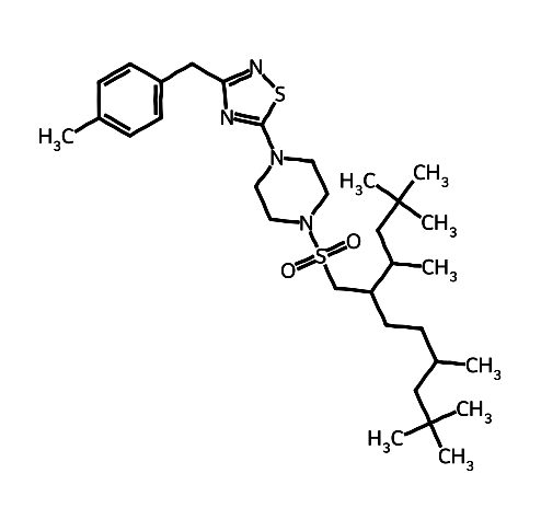 Cc1ccc(Cc2nsc(N3CCN(S(=O)(=O)CC(CCC(C)CC(C)(C)C)C(C)CC(C)(C)C)CC3)n2)cc1